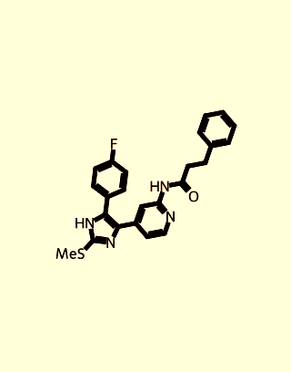 CSc1nc(-c2ccnc(NC(=O)CCc3ccccc3)c2)c(-c2ccc(F)cc2)[nH]1